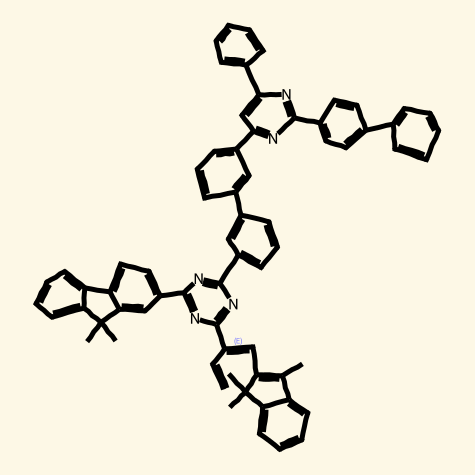 C=C/C(=C\C1=C(C)c2ccccc2C1(C)C)c1nc(-c2cccc(-c3cccc(-c4cc(-c5ccccc5)nc(-c5ccc(-c6ccccc6)cc5)n4)c3)c2)nc(-c2ccc3c(c2)C(C)(C)c2ccccc2-3)n1